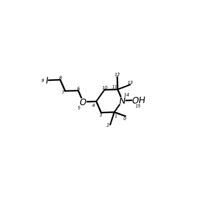 CC1(C)CC(OCCCI)CC(C)(C)N1O